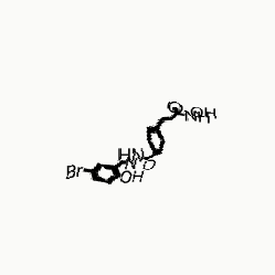 O=C(/C=C/c1ccc(C(=O)N/N=C/c2cc(Br)ccc2O)cc1)NO